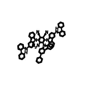 N#Cc1c(C#N)c(-n2c3ccccc3c3cc(Nc4ccccc4-c4ccccc4)ccc32)c(-n2c3ccccc3c3cc(-c4ccccc4)ccc32)c(N)c1-n1c2ccccc2c2cc(Nc3ccccc3-c3ccccc3)ccc21